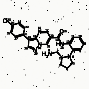 NC[C@@H]1CCCN1c1ccccc1NC(=O)c1cnc2c(-c3ccc(Cl)cc3)cnn2c1